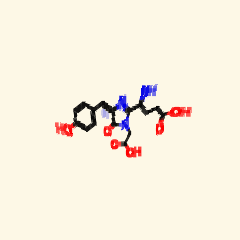 N=C(CCC(=O)O)C1=N/C(=C/c2ccc(O)cc2)C(=O)N1CC(=O)O